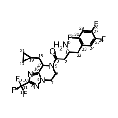 N[C@@H](CC(=O)N1CCn2nc(C(F)(F)F)nc2C1CC1CC1)Cc1cc(F)c(F)cc1F